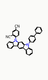 N#Cc1ccc(-n2c3ccccc3c3cc4c5ccccc5n(-c5ccc(-c6ccccc6)cc5)c4cc32)c(C#N)c1